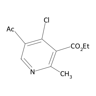 CCOC(=O)c1c(C)ncc(C(C)=O)c1Cl